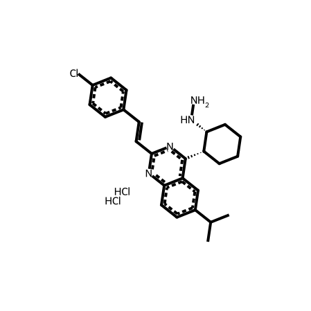 CC(C)c1ccc2nc(C=Cc3ccc(Cl)cc3)nc([C@H]3CCCC[C@H]3NN)c2c1.Cl.Cl